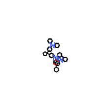 c1ccc(N(c2ccccc2)c2ccc(C3(c4ccc(N(c5ccc(C6CCCCC6)cc5)c5cccc6c7ccccc7n(-c7ccccc7)c56)cc4)CCCC3)cc2)cc1